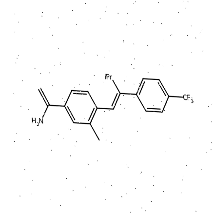 C=C(N)c1ccc(/C=C(/c2ccc(C(F)(F)F)cc2)C(C)C)c(C)c1